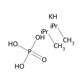 CC(C)C.CC(C)C.O=P(O)(O)O.[KH]